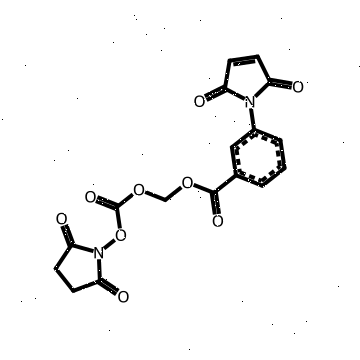 O=C(OCOC(=O)c1cccc(N2C(=O)C=CC2=O)c1)ON1C(=O)CCC1=O